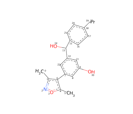 Cc1noc(C)c1-c1cc(O)cc(C(O)c2ccc(C(C)C)cc2)c1